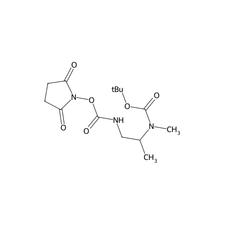 CC(CNC(=O)ON1C(=O)CCC1=O)N(C)C(=O)OC(C)(C)C